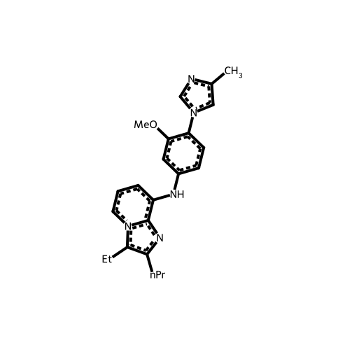 CCCc1nc2c(Nc3ccc(-n4cnc(C)c4)c(OC)c3)cccn2c1CC